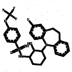 N=S(=O)(NC1CCCC(N2c3ccccc3CCc3cc(F)ccc32)C1O)c1ccc(OC(F)(F)F)cc1